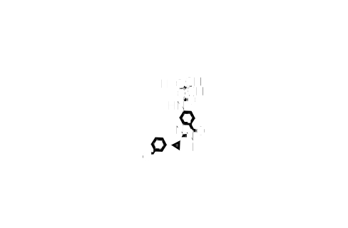 CC(C)(C)OC(=O)Nc1ccc2c(=O)[nH]c([C@H]3C[C@@H]3c3cccc(Cl)c3)nc2c1